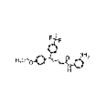 CCOc1ccc(C(=CC=CC(=O)Nc2cccc(N)c2)c2ccc(C(F)(F)F)cc2)cc1